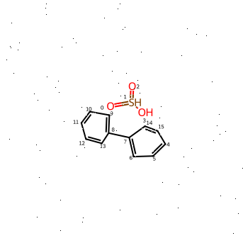 O=[SH](=O)O.c1ccc(-c2ccccc2)cc1